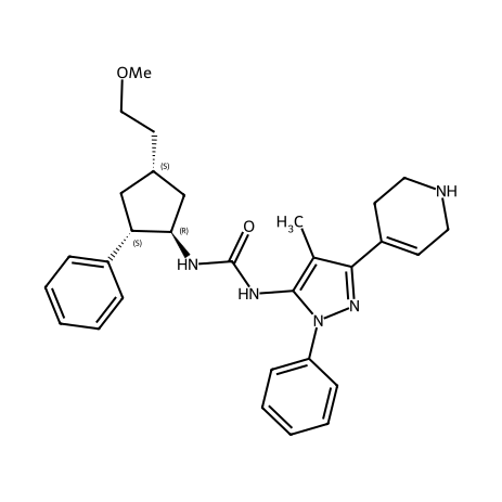 COCC[C@@H]1C[C@@H](NC(=O)Nc2c(C)c(C3=CCNCC3)nn2-c2ccccc2)[C@H](c2ccccc2)C1